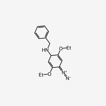 CCOC1=CC(NCc2ccccc2)C(OCC)=CC1=[N+]=[N-]